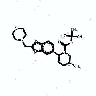 C[C@H]1CC=C(c2ccc3sc(CN4CCOCC4)nc3c2)N(C(=O)OC(C)(C)C)C1